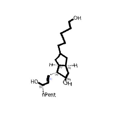 CCCCC[C@H](O)/C=C/[C@@H]1[C@H]2CC(CCCCCO)C[C@H]2C[C@H]1O